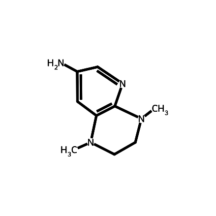 CN1CCN(C)c2ncc(N)cc21